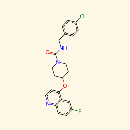 O=C(NCc1ccc(Cl)cc1)N1CCC(Oc2ccnc3ccc(F)cc23)CC1